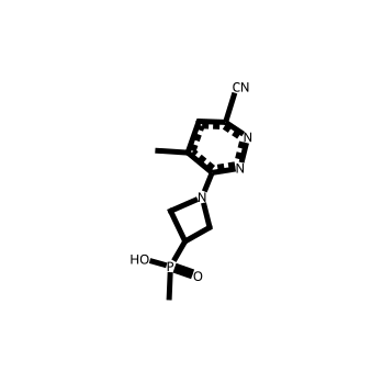 Cc1cc(C#N)nnc1N1CC(P(C)(=O)O)C1